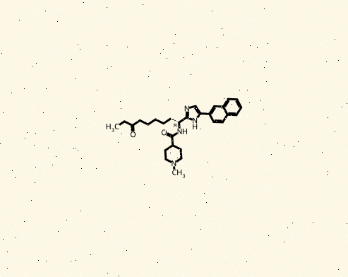 CCC(=O)CCCCC[C@@H](NC(=O)C1CCN(C)CC1)c1ncc(-c2ccc3ccccc3c2)[nH]1